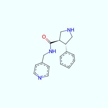 O=C(NCc1ccncc1)[C@H]1CNC[C@@H]1c1ccccc1